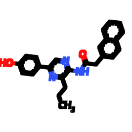 CCCc1nc(-c2ccc(O)cc2)cnc1NC(=O)Cc1ccc2ccccc2c1